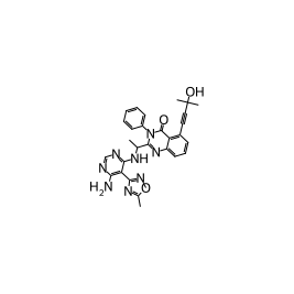 Cc1nc(-c2c(N)ncnc2NC(C)c2nc3cccc(C#CC(C)(C)O)c3c(=O)n2-c2ccccc2)no1